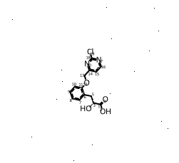 O=C(O)[C@H](O)Cc1ccccc1OCc1ccnc(Cl)n1